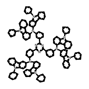 c1ccc(-n2c3ccccc3c3cc(N(c4cccc(-c5nc(-c6cccc(N(c7ccc8c(c7)c7ccccc7n8-c7ccccc7)c7cccc8c7c7ccccc7n8-c7ccccc7)c6)nc(-c6cccc(N(c7ccc8c(c7)c7ccccc7n8-c7ccccc7)c7cccc8c7c7ccccc7n8-c7ccccc7)c6)n5)c4)c4cccc5c4c4ccccc4n5-c4ccccc4)ccc32)cc1